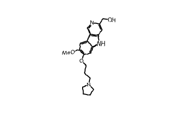 COc1cc2c(cc1OCCCN1CCCC1)[nH]c1cc(CO)ncc12